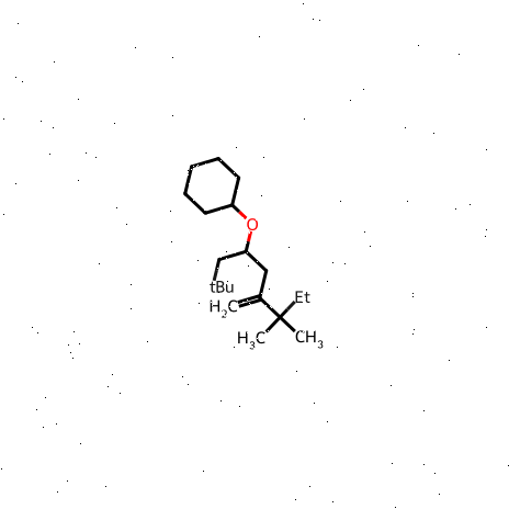 C=C(CC(CC(C)(C)C)OC1CCCCC1)C(C)(C)CC